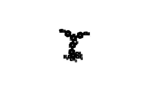 CC(C)(C)c1ccc(-c2nc(-c3ccc(C(C)(C)C)cc3)nc(-c3cnc(-c4ccc5c(c4)C(C)(C)CC5(C)C)cc3F)n2)cc1